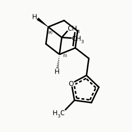 Cc1ccc(CC2=CC[C@H]3C[C@H]2C3(C)C)o1